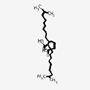 CC(C)CCCCCCCC1CC=CC(CCCCCCCC(C)C)(C(=O)O)C1C(=O)O